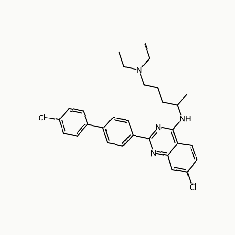 CCN(CC)CCCC(C)Nc1nc(-c2ccc(-c3ccc(Cl)cc3)cc2)nc2cc(Cl)ccc12